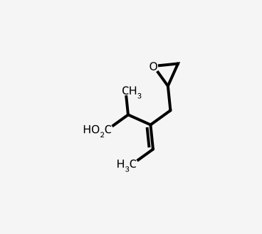 CC=C(CC1CO1)C(C)C(=O)O